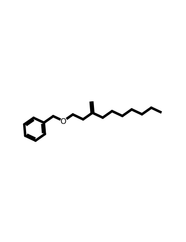 C=C(CCCCCCC)CCOCc1ccccc1